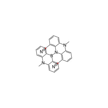 CN1c2ccccc2B(N2c3c(C#N)cccc3N(C)c3cccc(C#N)c32)c2ccccc21